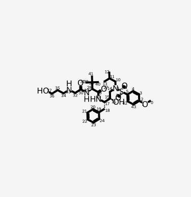 COc1ccc(S(=O)(=O)N(CC(C)C)C[C@@H](O)[C@H](Cc2ccccc2)NC(=O)[C@@H](NC(=O)CNCCCO)C(C)(C)C)cc1